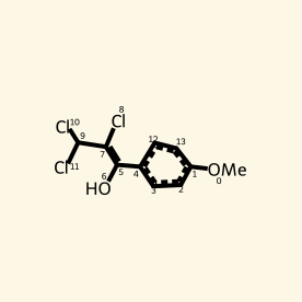 COc1ccc(C(O)=C(Cl)C(Cl)Cl)cc1